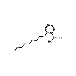 CCCCCCCCOc1ccccc1B(O)O